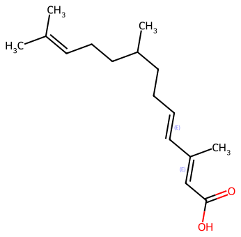 CC(C)=CCCC(C)CC/C=C/C(C)=C/C(=O)O